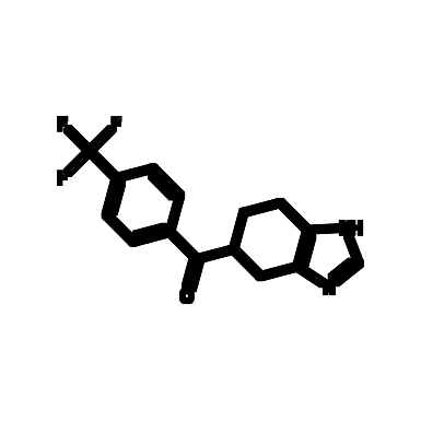 O=C(c1ccc(C(F)(F)F)cc1)C1CCc2[nH]cnc2C1